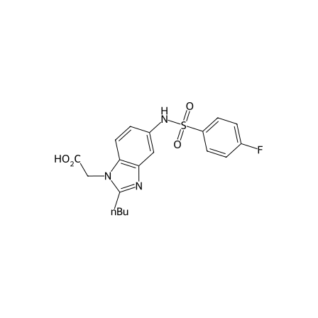 CCCCc1nc2cc(NS(=O)(=O)c3ccc(F)cc3)ccc2n1CC(=O)O